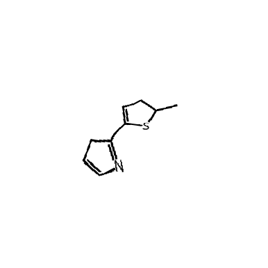 CC1CC=C(C2=NC=CC2)S1